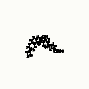 CO[C@@H]1CCN(c2cnc(C(=O)N(C)Cc3ccc4c(c3)CCN(C3CCC3)CC4)cn2)C1